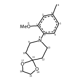 COc1cc(C)ccc1N1CCC2(CC1)OCCO2